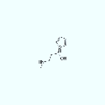 CNCC[C@@H](O)[SH]1C=CC=C1